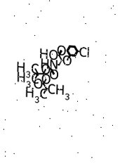 CC(C)C(=O)O[C@@H](OC(=O)NC[C@H](Oc1cccc(Cl)c1)C(=O)O)C(C)C